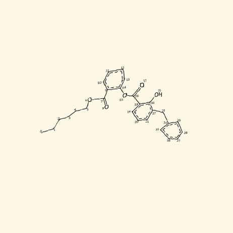 CCCCCCOC(=O)c1ccccc1OC(=O)c1cccc(Cc2ccccc2)c1O